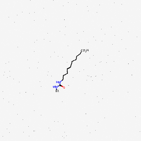 CCNC(=O)NCCCCCCCCCC(=O)O